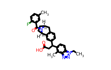 CCn1nnc2c(C)c(C(CC(=O)O)c3ccc4c(c3)[C@H]3CC[C@@H](C4)N3C(=O)c3cc(C)ccc3F)ccc21